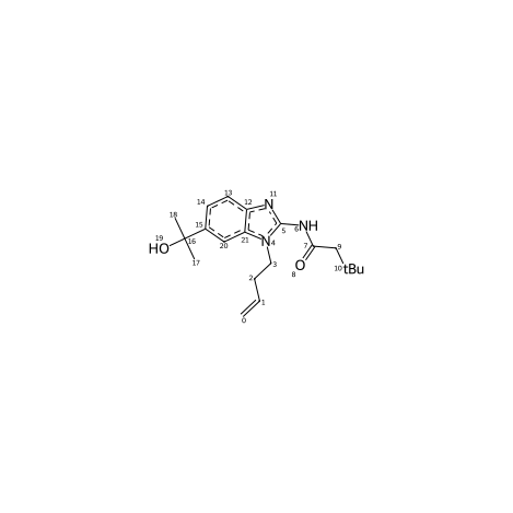 C=CCCn1c(NC(=O)CC(C)(C)C)nc2ccc(C(C)(C)O)cc21